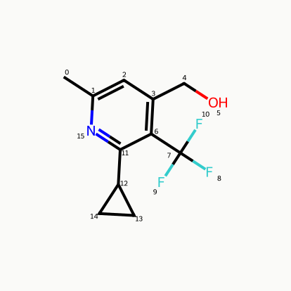 Cc1cc(CO)c(C(F)(F)F)c(C2CC2)n1